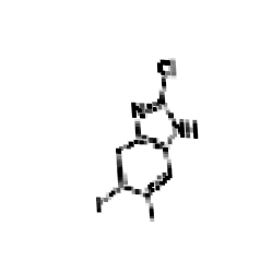 Clc1nc2cc(I)c(I)cc2[nH]1